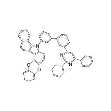 C1=CCCC(c2nc(-c3ccccc3)cc(-c3cccc(-c4cccc(-n5c6ccc7c(c6c6ccc8ccccc8c65)OC5=CCCC=C5O7)c4)c3)n2)=C1